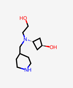 OCCN(CC1CCNCC1)[C@H]1C[C@H](O)C1